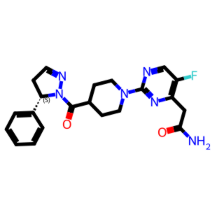 NC(=O)Cc1nc(N2CCC(C(=O)N3N=CC[C@H]3c3ccccc3)CC2)ncc1F